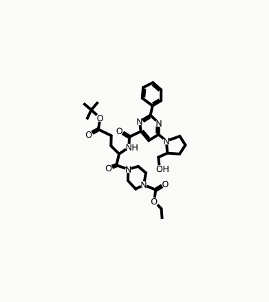 CCOC(=O)N1CCN(C(=O)C(CCC(=O)OC(C)(C)C)NC(=O)c2cc(N3CCCC3CO)nc(-c3ccccc3)n2)CC1